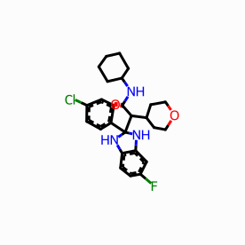 O=C(NC1CCCCC1)C(C1CCOCC1)C1(c2ccc(Cl)cc2)Nc2ccc(F)cc2N1